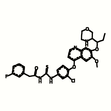 CCC(Oc1cc2nccc(Oc3ccc(NC(=S)NC(=O)Cc4cccc(F)c4)cc3Cl)c2cc1OC)C1COCCN1